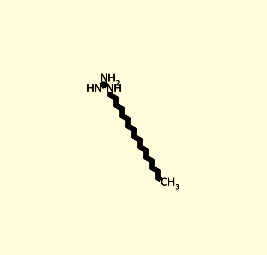 CCCCCCCCCCCCCCCCCCNC(=N)N